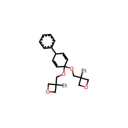 CCC1(COC2(OCC3(CC)COC3)C=CC(c3ccccc3)C=C2)COC1